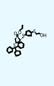 C=CCOC(=O)N1C[C@@H](SC(c2ccccc2)(c2ccccc2)c2ccccc2)C[C@H]1CSc1ccc(SCCO)cc1